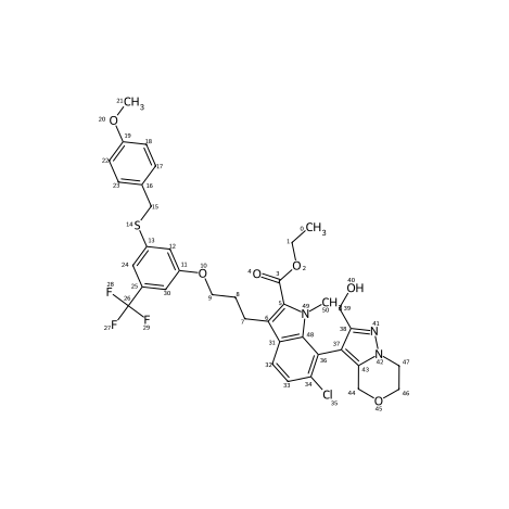 CCOC(=O)c1c(CCCOc2cc(SCc3ccc(OC)cc3)cc(C(F)(F)F)c2)c2ccc(Cl)c(-c3c(CO)nn4c3COCC4)c2n1C